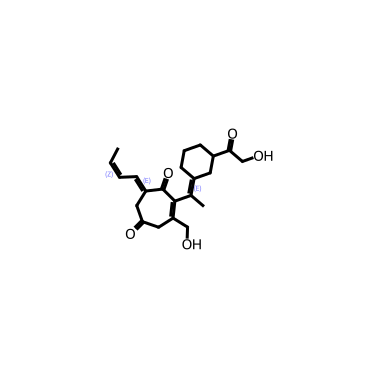 C/C=C\C=C1/CC(=O)CC(CO)=C(/C(C)=C2\CCCC(C(=O)CO)C2)C1=O